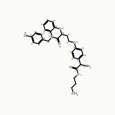 CCCCOC(=O)C(N)c1ccc(OCCC2Oc3ccccc3N(Cc3ccc(Cl)cc3)C2=O)cc1